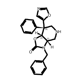 O=C1O[C@H]2[C@H](CNC[C@@]2(c2ccccc2)c2cnco2)N1Cc1ccccc1